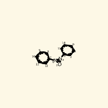 c1ccc(-n2on2-c2ccccc2)cc1